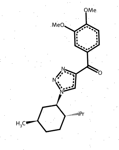 COc1ccc(C(=O)c2cn([C@@H]3C[C@H](C)CC[C@H]3C(C)C)nn2)cc1OC